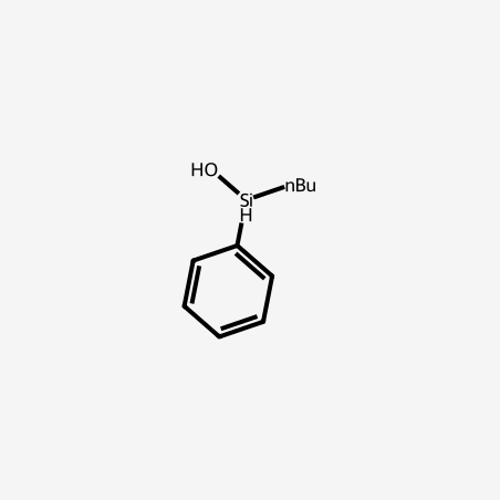 CCCC[SiH](O)c1ccccc1